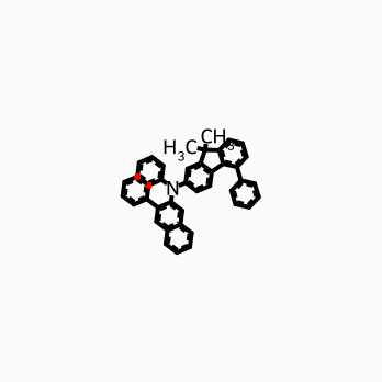 CC1(C)c2cc(N(c3ccccc3)c3cc4ccccc4cc3-c3ccccc3)ccc2-c2c(-c3ccccc3)cccc21